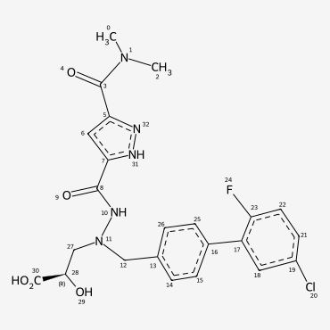 CN(C)C(=O)c1cc(C(=O)NN(Cc2ccc(-c3cc(Cl)ccc3F)cc2)C[C@@H](O)C(=O)O)[nH]n1